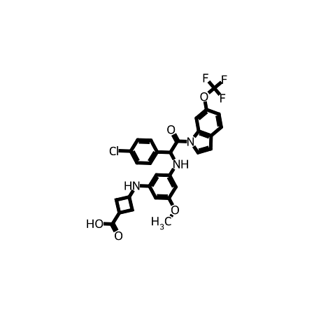 COc1cc(NC2CC(C(=O)O)C2)cc(NC(C(=O)n2ccc3ccc(OC(F)(F)F)cc32)c2ccc(Cl)cc2)c1